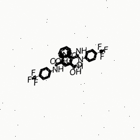 N=C(N[C@H]1CC[C@@H](C(F)(F)F)CC1)c1c(C(=O)O)cc(C(=O)N[C@H]2CC[C@@H](C(F)(F)F)CC2)c2c3ccc(c(=O)[nH]c3=O)c12